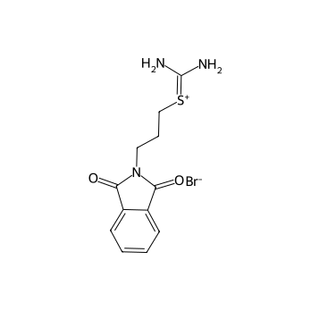 NC(N)=[S+]CCCN1C(=O)c2ccccc2C1=O.[Br-]